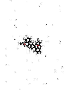 Cc1c(-c2c(F)c(F)c(F)c(F)c2F)c(-c2c(F)c(F)c(F)c(F)c2F)cc2[nH]c(OB(O)O)c(-c3c(F)c(F)c(F)c(F)c3F)c12